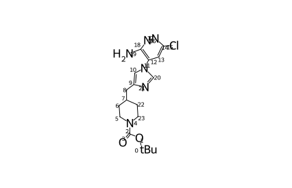 CC(C)(C)OC(=O)N1CCC(Cc2cn(-c3cc(Cl)nnc3N)cn2)CC1